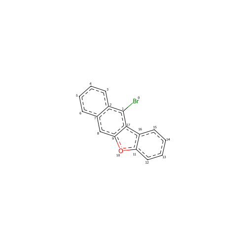 Brc1c2ccccc2cc2oc3ccccc3c12